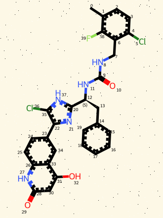 Cc1ccc(Cl)c(CNC(=O)N[C@@H](Cc2ccccc2)c2nc(-c3ccc4[nH]c(=O)cc(O)c4c3)c(Cl)[nH]2)c1F